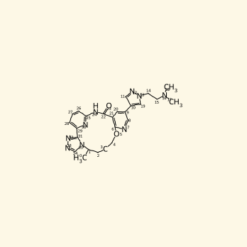 CC1CCCOc2ncc(-c3cnn(CCN(C)C)c3)cc2C(=O)Nc2cccc(n2)-c2nncn21